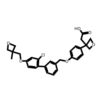 CC1(COc2ccc(-c3cccc(COc4ccc(C5(CC(=O)O)COC5)cc4)c3)c(Cl)c2)COC1